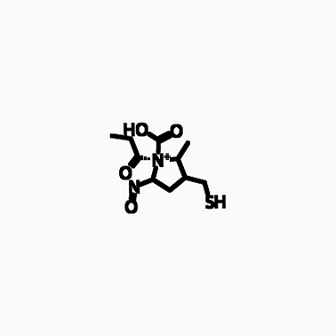 CCC(=O)[N@@+]1(C(=O)O)C(N=O)CC(CS)C1C